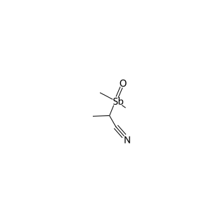 C[CH](C#N)[Sb]([CH3])([CH3])=[O]